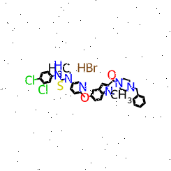 Br.CCN(C(=S)Nc1ccc(Cl)c(Cl)c1)c1ccc(Oc2ccc3c(c2)cc(C(=O)N2CCN(Cc4ccccc4)CC2)n3C)nc1